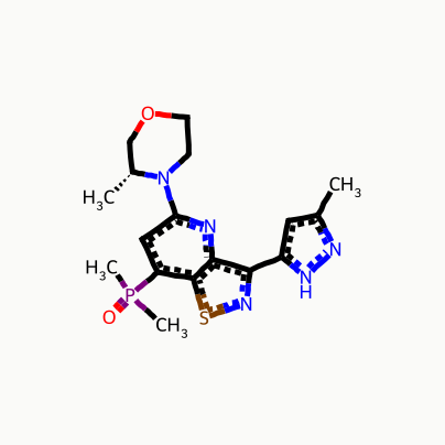 Cc1cc(-c2nsc3c(P(C)(C)=O)cc(N4CCOC[C@H]4C)nc23)[nH]n1